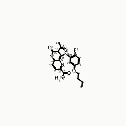 CCCCOc1ccc(F)c(N2N=C(C)C3C(=O)N=c4ccc(C(N)=O)nc4=C32)c1